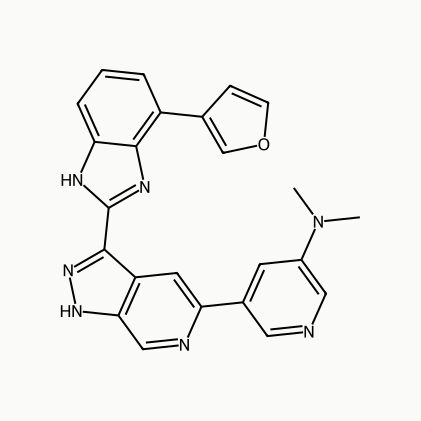 CN(C)c1cncc(-c2cc3c(-c4nc5c(-c6ccoc6)cccc5[nH]4)n[nH]c3cn2)c1